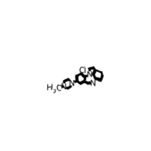 CN1CCN(c2cc(Cl)c3c(c2)C=NC2=CCCc4ccn-3c42)CC1